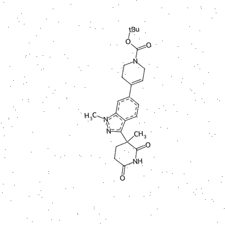 Cn1nc(C2(C)CCC(=O)NC2=O)c2ccc(C3=CCN(C(=O)OC(C)(C)C)CC3)cc21